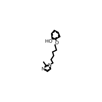 Cc1nccn1CCCCCCOc1ccccc1O